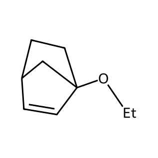 [CH2]COC12C=CC(CC1)C2